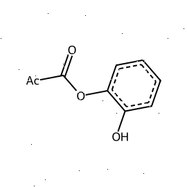 CC(=O)C(=O)Oc1ccccc1O